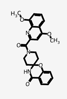 COc1cc(C(=O)N2CCC3(CC2)NC(=O)c2ccccc2O3)nc2c(OC)cccc12